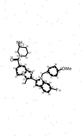 COc1ccc(Cn2c(-c3nc4cc(C(=O)N5CCCC(N)C5)ccn4c3C)cc3ccc(F)cc32)cc1